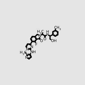 Cc1cccc(C(CO)NC(=O)C(C)N2Cc3ccc(-c4ccnc(Nc5ccnn5C)n4)c(F)c3C2=O)c1